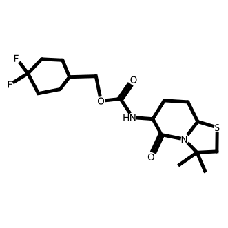 CC1(C)CSC2CCC(NC(=O)OCC3CCC(F)(F)CC3)C(=O)N21